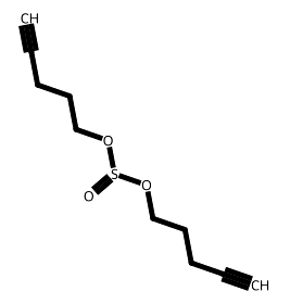 C#CCCCOS(=O)OCCCC#C